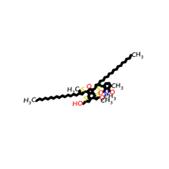 CCCCCCCCCCCCCCCCc1cc(C2=c3c(c4sc(OC)cc4c4cc(CO)sc34)=C(c3cc(CCCCCCCCCCCCCCCC)c(-c4ccc(C)c5c4C(=O)N(C)C5=O)s3)C2=O)sc1C